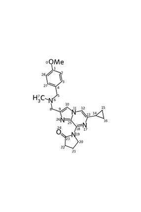 COc1ccc(CN(C)Cc2cn3cc(C4CC4)nc(N4CCCC4=O)c3n2)cc1